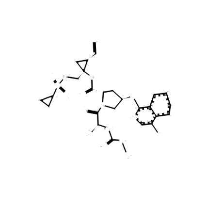 C=C[C@@H]1C[C@@]1(CNS(=O)(=O)C1CC1)NC(=O)[C@@H]1C[C@@H](Oc2ncc(C)c3ccccc23)CN1C(=O)[C@@H](NC(=O)OC(C)(C)C)C(C)(C)C